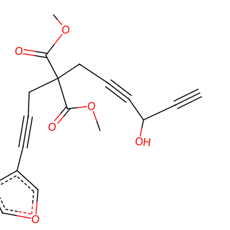 C#CC(O)C#CCC(CC#Cc1ccoc1)(C(=O)OC)C(=O)OC